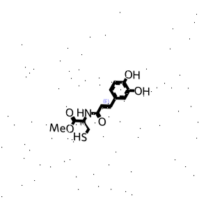 COC(=O)[C@H](CS)NC(=O)/C=C/c1ccc(O)c(O)c1